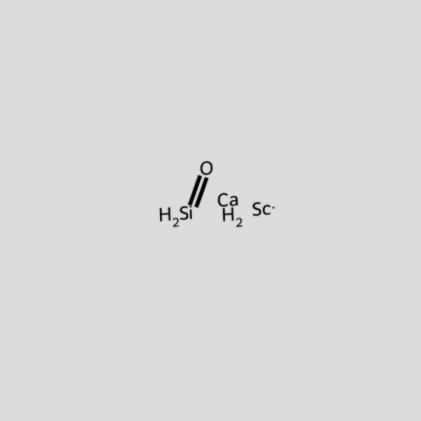 O=[SiH2].[CaH2].[Sc]